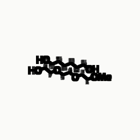 COCCOCCOCCO.OCCCCCCO